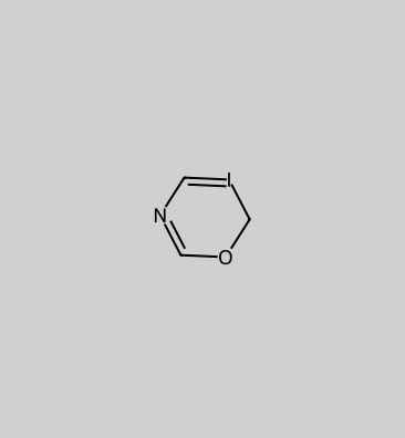 C1=NC=ICO1